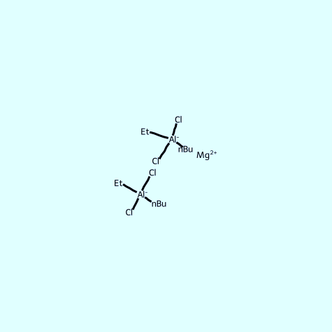 CCC[CH2][Al-]([Cl])([Cl])[CH2]C.CCC[CH2][Al-]([Cl])([Cl])[CH2]C.[Mg+2]